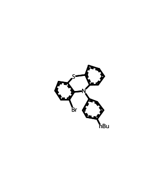 CCCCc1ccc(N2c3ccccc3Sc3cccc(Br)c32)cc1